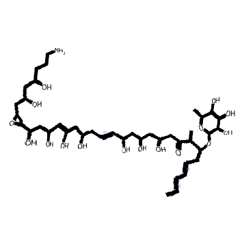 C/C=C/C=C/CC(OC1OC(C)C(O)C(O)C1O)C(C)C(=O)CC(O)CC(O)CC(O)/C=C/CC(O)CC(O)CC(O)CC(O)C1OC1CC(O)CC(O)CCCN